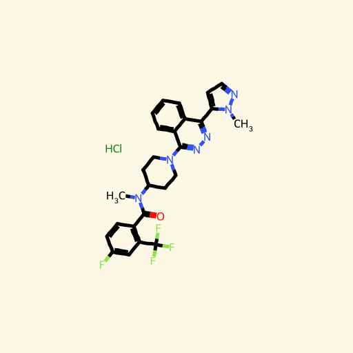 CN(C(=O)c1ccc(F)cc1C(F)(F)F)C1CCN(c2nnc(-c3ccnn3C)c3ccccc23)CC1.Cl